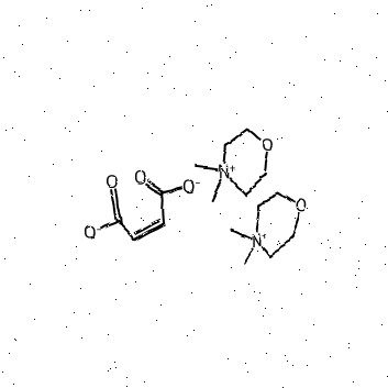 C[N+]1(C)CCOCC1.C[N+]1(C)CCOCC1.O=C([O-])/C=C\C(=O)[O-]